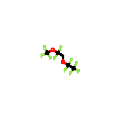 FC(F)(F)OC(F)(F)COC(F)(F)C(F)(F)F